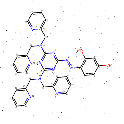 Oc1ccc(/N=N/c2nc(N(Cc3ccccn3)Cc3ccccn3)nc(N(Cc3ccccn3)Cc3ccccn3)n2)c(O)c1